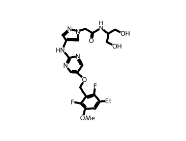 CCc1cc(OC)c(F)c(COc2cnc(Nc3cnn(CC(=O)NC(CO)CO)c3)nc2)c1F